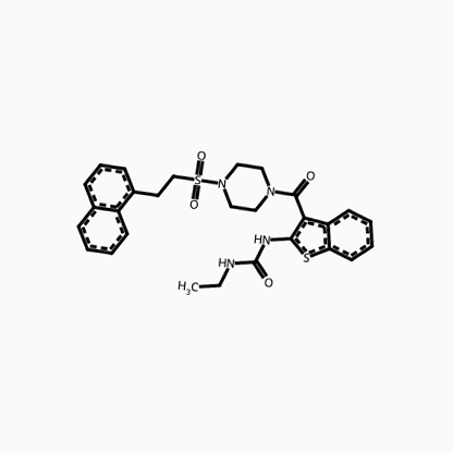 CCNC(=O)Nc1sc2ccccc2c1C(=O)N1CCN(S(=O)(=O)CCc2cccc3ccccc23)CC1